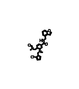 CN(C=O)Cc1ccc(C(=O)NCc2cccc3occc23)cc1N(C)CC1C=CC=C1Cl